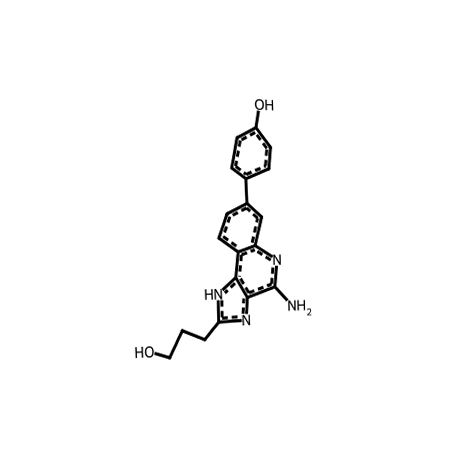 Nc1nc2cc(-c3ccc(O)cc3)ccc2c2[nH]c(CCCO)nc12